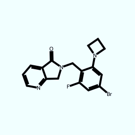 O=C1c2cccnc2CN1Cc1c(F)cc(Br)cc1N1CCC1